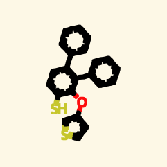 Sc1ccc(-c2ccccc2)c(-c2ccccc2)c1Oc1ccsc1